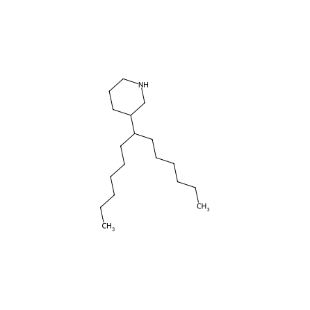 CCCCCCC(CCCCCC)C1CCCNC1